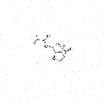 C=C(C)C(=O)OC1C2OC3C(COC31)C2=O